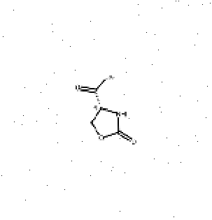 CC(C)C(=O)[C@H]1COC(=O)N1